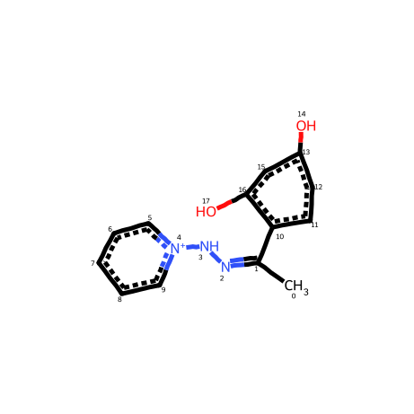 CC(=NN[n+]1ccccc1)c1ccc(O)cc1O